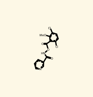 COc1c(Cl)ccc(Cl)c1C(=O)ONC(=O)c1cccnc1